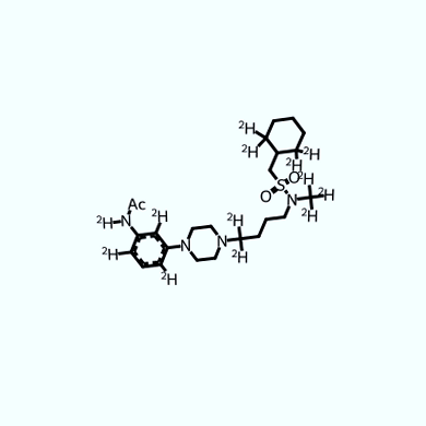 [2H]c1cc([2H])c(N([2H])C(C)=O)c([2H])c1N1CCN(C([2H])([2H])CCCN(C([2H])([2H])[2H])S(=O)(=O)CC2C([2H])([2H])CCCC2([2H])[2H])CC1